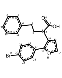 O=C(O)N(CCc1ccccc1)c1ccoc1-c1ccc(Br)cc1